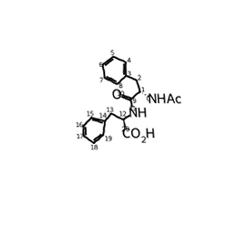 CC(=O)N[C@@H](Cc1ccccc1)C(=O)N[C@H](Cc1ccccc1)C(=O)O